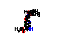 COC(=O)c1c[nH]c(Cc2ncc(OC3CN(C(=O)OC(C)(C)C)C3)cc2F)c1